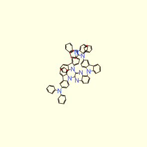 c1ccc(N(c2ccccc2)c2ccc3c(c2)c2ccccc2n3-c2nc3cccc(-n4c5ccccc5c5cc(N(c6ccccc6)c6ccccc6)ccc54)c3nc2-n2c3ccccc3c3cc(N(c4ccccc4)c4ccccc4)ccc32)cc1